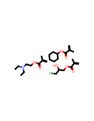 C=C(C)C(=O)OC1CCCCC1.C=C(C)C(=O)OCC(O)CCl.C=C(C)C(=O)OCCN(CC)CC